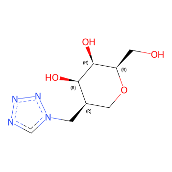 OC[C@H]1OC[C@@H](Cn2cnnn2)[C@@H](O)[C@H]1O